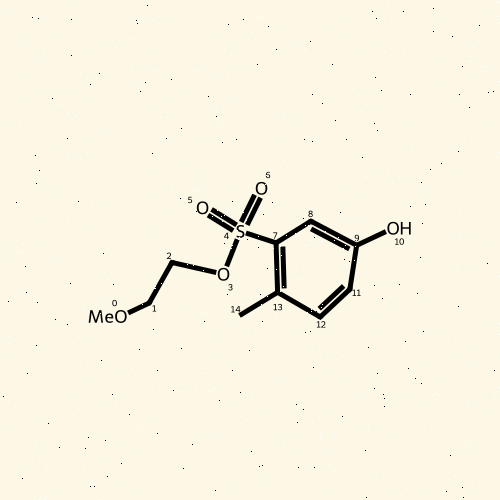 COCCOS(=O)(=O)c1cc(O)ccc1C